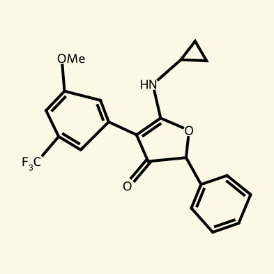 COc1cc(C2=C(NC3CC3)OC(c3ccccc3)C2=O)cc(C(F)(F)F)c1